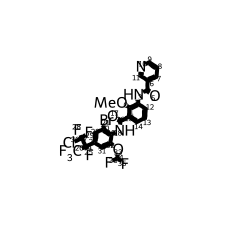 COc1c(NC(=O)c2cccnc2)cccc1C(=O)Nc1c(Br)cc(C(F)(C(F)(F)F)C(F)(F)Cl)cc1OC(F)F